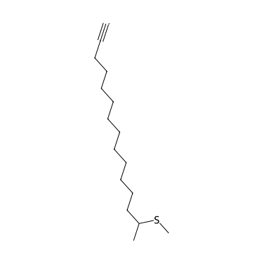 [C]#CCCCCCCCCCCCC(C)SC